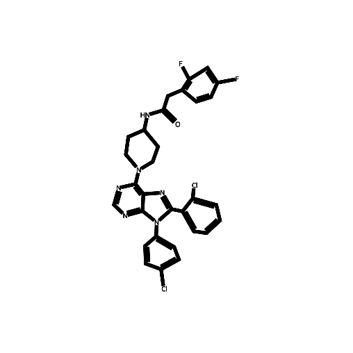 O=C(Cc1ccc(F)cc1F)NC1CCN(c2ncnc3c2nc(-c2ccccc2Cl)n3-c2ccc(Cl)cc2)CC1